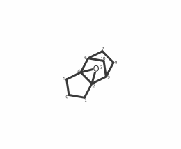 C1CC23OC2(C1)C1CCC3C1